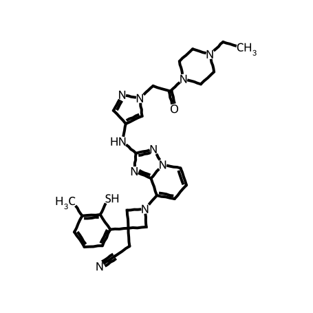 CCN1CCN(C(=O)Cn2cc(Nc3nc4c(N5CC(CC#N)(c6cccc(C)c6S)C5)cccn4n3)cn2)CC1